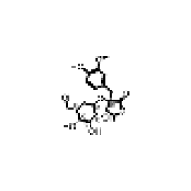 COc1cc(C[C@]2(O[C@@H]3C[C@H](CO)[C@@H](O)[C@H](O)[C@H]3O)CCOC2=O)ccc1O